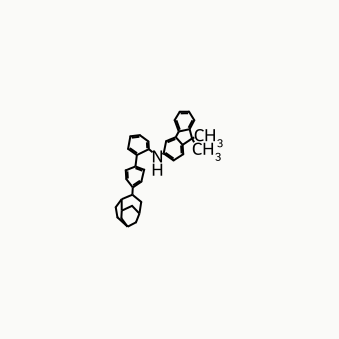 CC1(C)c2ccccc2-c2cc(Nc3ccccc3-c3ccc(C4CC5CC6CCC4C(C6)C5)cc3)ccc21